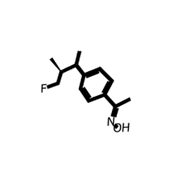 C/C(=N\O)c1ccc(C(C)[C@H](C)CF)cc1